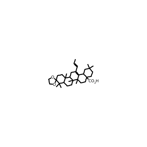 CC=CC1=C2C3CC(C)(C)CCC3(C(=O)O)CCC2(C)C2(C)CCC3C(C)(CCC4(OCCO4)C3(C)C)C2C1